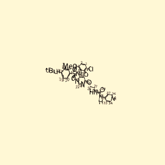 COc1ccc(Cl)c(Oc2c(NS(=O)(=O)c3ccc(C(C)(C)C)cc3)ncnc2OCCNC(=O)Nc2ccncc2)c1